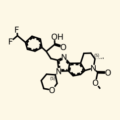 COC(=O)N1c2ccc3c(nc(CC(C(=O)O)c4ccc(C(F)F)cc4)n3[C@H]3CCCOC3)c2CC[C@@H]1C